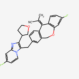 C/C(C#N)=C1/c2ccc(Cc3c(C4CCOC4)nc4cc(F)ccn34)cc2COc2cc(F)ccc21